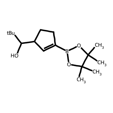 CC(C)(C)C(O)C1C=C(B2OC(C)(C)C(C)(C)O2)CC1